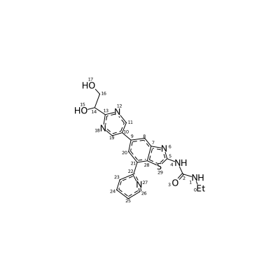 CCNC(=O)Nc1nc2cc(-c3cnc(C(O)CO)nc3)cc(-c3ccccn3)c2s1